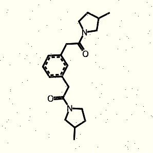 CC1CCN(C(=O)Cc2cccc(CC(=O)N3CCC(C)C3)c2)C1